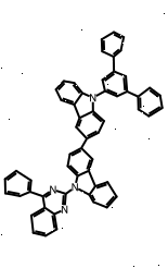 c1ccc(-c2cc(-c3ccccc3)cc(-n3c4ccccc4c4cc(-c5ccc6c(c5)c5ccccc5n6-c5nc(-c6ccccc6)c6ccccc6n5)ccc43)c2)cc1